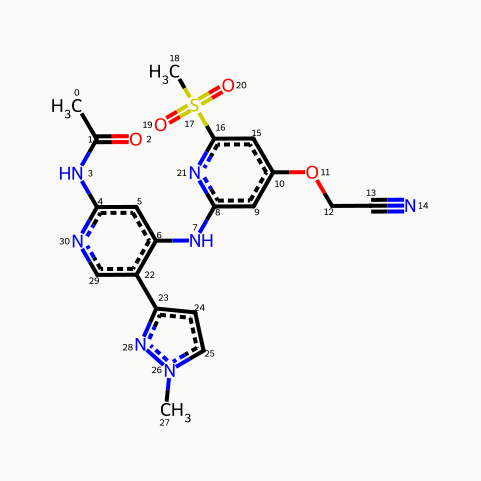 CC(=O)Nc1cc(Nc2cc(OCC#N)cc(S(C)(=O)=O)n2)c(-c2ccn(C)n2)cn1